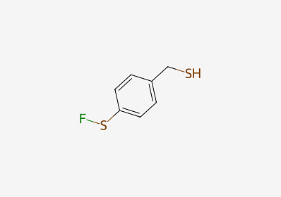 FSc1ccc(CS)cc1